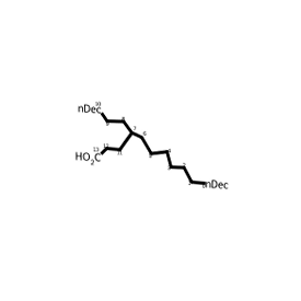 CCCCCCCCCCCCCCCCC(CCCCCCCCCCCC)CCC(=O)O